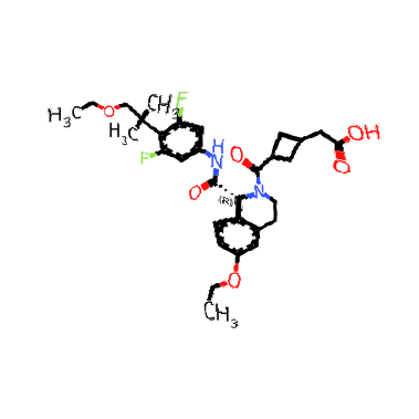 CCOCC(C)(C)c1c(F)cc(NC(=O)[C@H]2c3ccc(OCC)cc3CCN2C(=O)C2CC(CC(=O)O)C2)cc1F